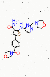 NC(=O)c1cc(-c2ccc(C(=O)N3CCOCC3)cc2)sc1Nc1ccnc(CN2CCOCC2)n1